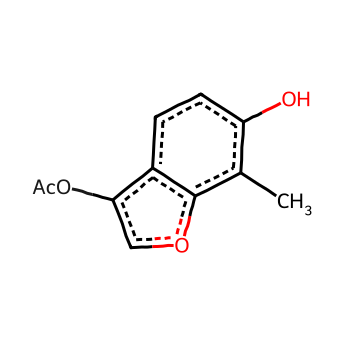 CC(=O)Oc1coc2c(C)c(O)ccc12